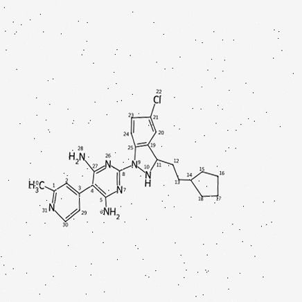 Cc1cc(-c2c(N)nc(N3NC(CCC4CCCC4)c4cc(Cl)ccc43)nc2N)ccn1